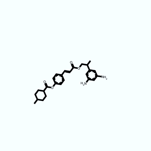 CC1CCC(C(=O)Oc2ccc(/C=C/C(=O)OCC(C)c3cc(N)cc(N)c3)cc2)CC1